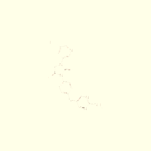 Nc1ncc(Nc2ccc(N3C(=O)CN(c4cncc(C(F)(F)F)c4)C3=O)cc2)cn1